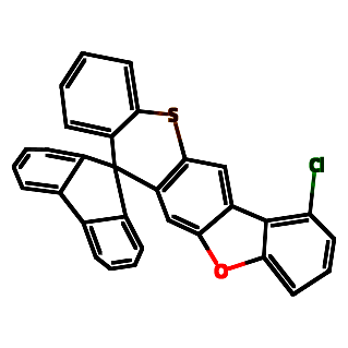 Clc1cccc2oc3cc4c(cc3c12)Sc1ccccc1C41c2ccccc2-c2ccccc21